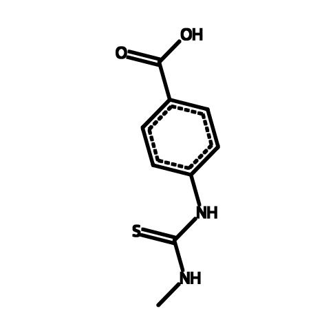 CNC(=S)Nc1ccc(C(=O)O)cc1